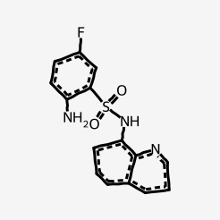 Nc1ccc(F)cc1S(=O)(=O)Nc1cccc2cccnc12